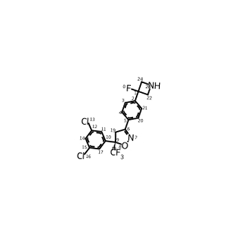 FC1(c2ccc(C3=NO[C@@](c4cc(Cl)cc(Cl)c4)(C(F)(F)F)C3)cc2)CNC1